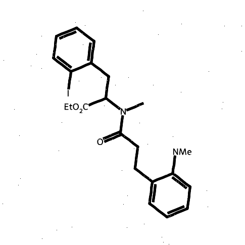 CCOC(=O)C(Cc1ccccc1I)N(C)C(=O)CCc1ccccc1NC